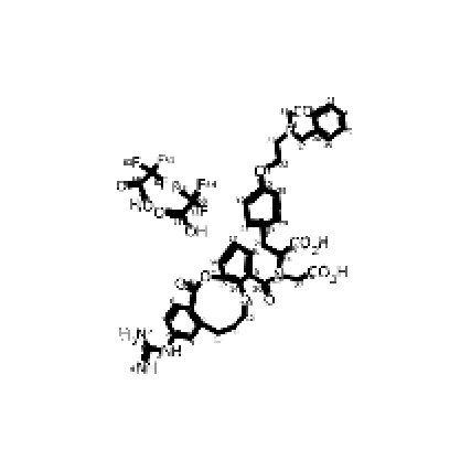 N=C(N)Nc1ccc2c(c1)CCCOc1c(cccc1C(=O)N(CC(=O)O)C(Cc1ccc(OCCN(CC(=O)O)Cc3ccccc3)cc1)C(=O)O)OC2=O.O=C(O)C(F)(F)F.O=C(O)C(F)(F)F